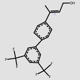 C/C(=C\CO)c1ccc(-c2cc(C(F)(F)F)cc(C(F)(F)F)c2)cc1